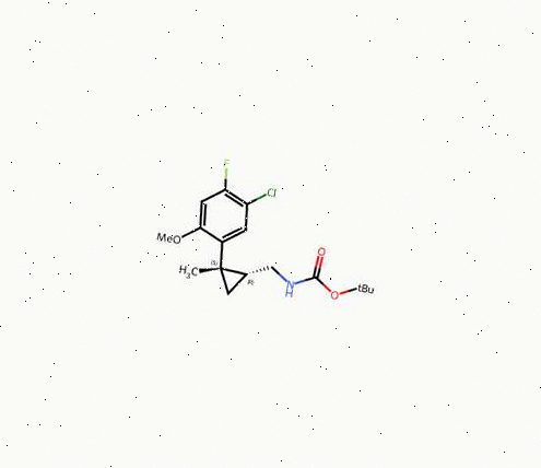 COc1cc(F)c(Cl)cc1[C@@]1(C)C[C@H]1CNC(=O)OC(C)(C)C